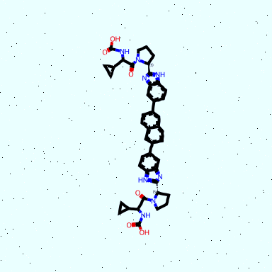 O=C(O)NC(C(=O)N1CCC[C@H]1c1nc2cc(-c3ccc4cc(-c5ccc6[nH]c([C@@H]7CCCN7C(=O)C(NC(=O)O)C7CC7)nc6c5)ccc4c3)ccc2[nH]1)C1CC1